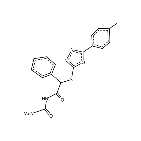 CNC(=O)NC(=O)C(Sc1nnc(-c2ccc(C)cc2)o1)c1ccccc1